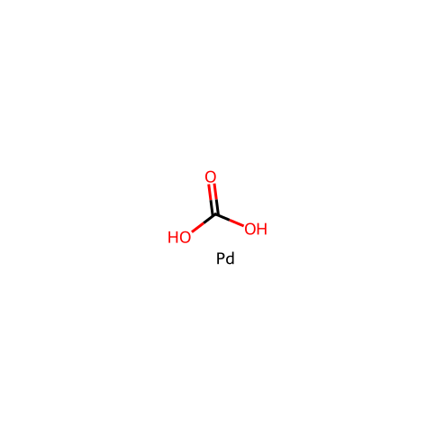 O=C(O)O.[Pd]